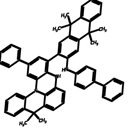 CC1(C)c2ccccc2C(C)(C)c2cc(-c3cc(-c4ccccc4)cc4c3Bc3cccc5c3N4c3ccccc3C5(C)C)c(Nc3ccc(-c4ccccc4)cc3)cc21